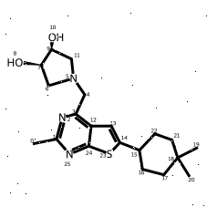 Cc1nc(CN2C[C@@H](O)[C@@H](O)C2)c2cc(C3CCC(C)(C)CC3)sc2n1